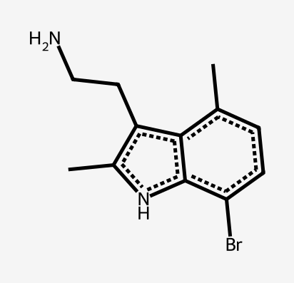 Cc1[nH]c2c(Br)ccc(C)c2c1CCN